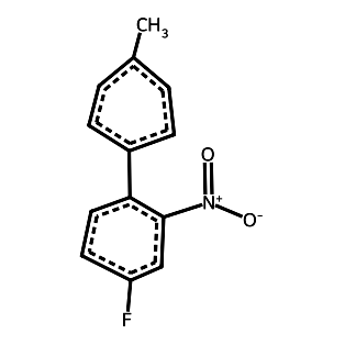 Cc1ccc(-c2ccc(F)cc2[N+](=O)[O-])cc1